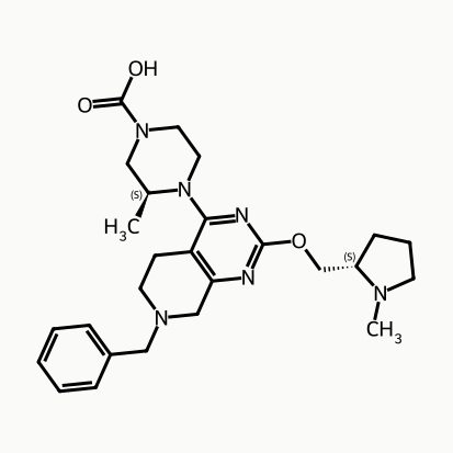 C[C@H]1CN(C(=O)O)CCN1c1nc(OC[C@@H]2CCCN2C)nc2c1CCN(Cc1ccccc1)C2